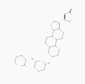 C[C@@H]1CCCC(O[C@H]2[C@@H](O)C[C@H](O[C@H]3CC[C@]4(C)C5CC[C@]6(C)[C@@H](C7=CC(=O)OC7)CC[C@]6(O)[C@@H]5CC[C@@H]4C3)O[C@@H]2C)O1